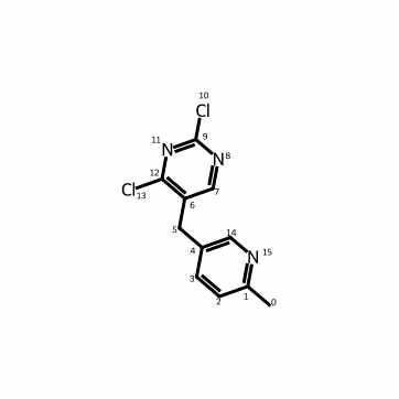 Cc1ccc(Cc2cnc(Cl)nc2Cl)cn1